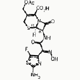 CC(=O)OCC1=C(C(=O)O)N2C(=O)[C@@H](NC(=O)C(=NO)c3nc(N)sc3F)[C@H]2SC1